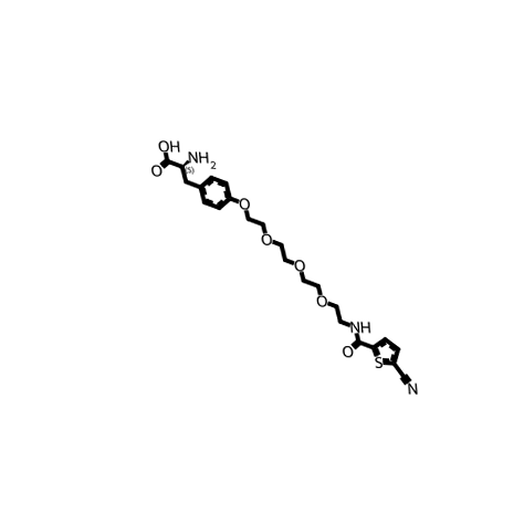 N#Cc1ccc(C(=O)NCCOCCOCCOCCOc2ccc(C[C@H](N)C(=O)O)cc2)s1